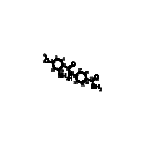 COc1ccc(C(=O)Nc2ccc(C(N)=O)cc2)c(N)c1